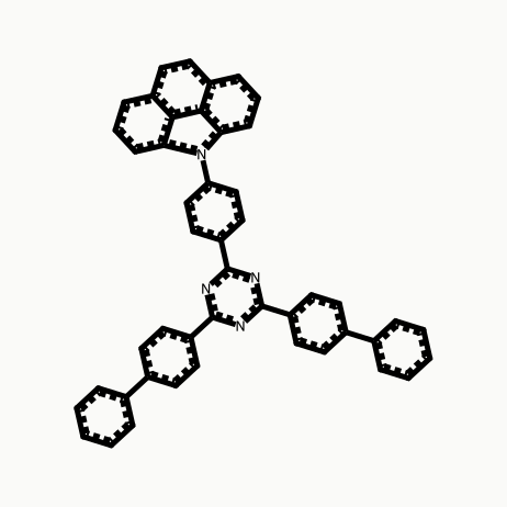 c1ccc(-c2ccc(-c3nc(-c4ccc(-c5ccccc5)cc4)nc(-c4ccc(-n5c6cccc7ccc8cccc5c8c76)cc4)n3)cc2)cc1